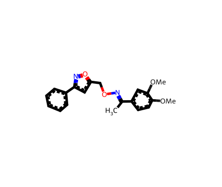 COc1ccc(/C(C)=N/OCc2cc(-c3ccccc3)no2)cc1OC